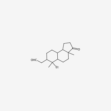 CCC1(C)C(CC=O)CCC2C3CCC(=O)C3(C)CCC21